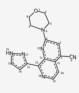 N#Cc1cc(N2CCOCC2)nc2c(-c3cc[nH]n3)nccc12